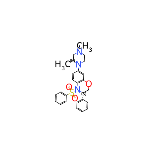 C[C@@H]1CN(C)CCN1c1ccc2c(c1)OC[C@H](c1ccccc1)N2S(=O)(=O)c1ccccc1